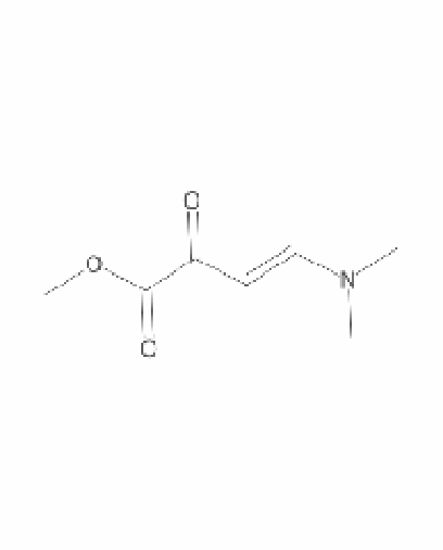 COC(=O)C(=O)C=CN(C)C